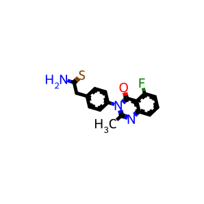 Cc1nc2cccc(F)c2c(=O)n1-c1ccc(CC(N)=S)cc1